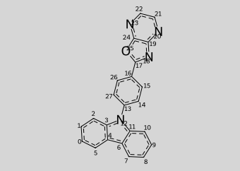 c1ccc2c(c1)c1ccccc1n2-c1ccc(-c2nc3nccnc3o2)cc1